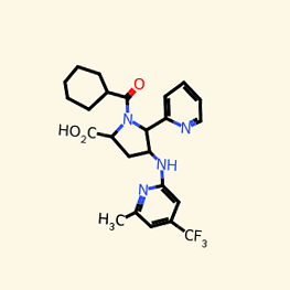 Cc1cc(C(F)(F)F)cc(NC2CC(C(=O)O)N(C(=O)C3CCCCC3)C2c2ccccn2)n1